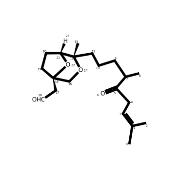 CC(C)=CCC(=O)C(C)CCC[C@]1(C)OC[C@]2(CC=O)CC[C@H]1O2